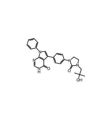 CC(C)(O)CN1CCN(c2ccc(-c3cn(-c4ccccc4)c4nc[nH]c(=O)c34)cc2)C1=O